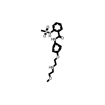 COCCNCCOc1ccc(NC(=O)c2ccccc2NS(C)(=O)=O)cc1